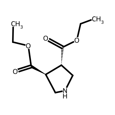 CCOC(=O)[C@@H]1CNC[C@H]1C(=O)OCC